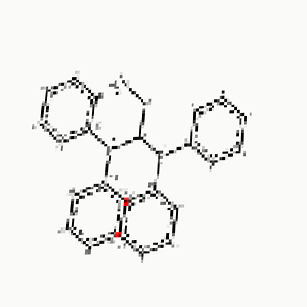 NCC(P(c1ccccc1)c1ccccc1)P(c1ccccc1)c1ccccc1